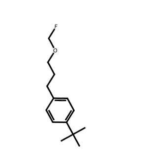 CC(C)(C)c1ccc(CCCOCF)cc1